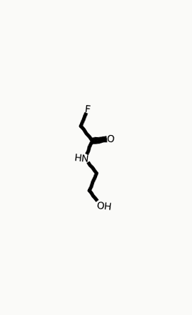 O=C(CF)NCCO